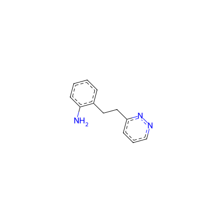 Nc1ccccc1CCc1cccnn1